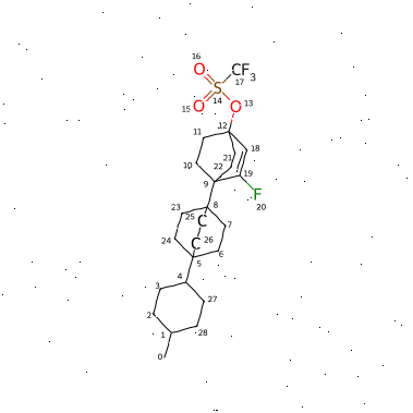 CC1CCC(C23CCC(C45CCC(OS(=O)(=O)C(F)(F)F)(C=C4F)CC5)(CC2)CC3)CC1